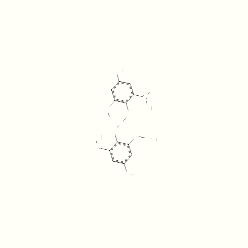 Cc1cc(SC(C)(C)C)c([O][Zr+2][O]c2c(SC(C)(C)C)cc(C)cc2N(C)C)c(N(C)C)c1.[Cl-].[Cl-]